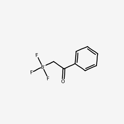 O=C(C[B-](F)(F)F)c1ccccc1